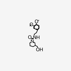 COc1ccc(CCNC(=O)N2CCCC(CO)C2)cc1OC